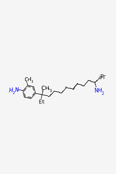 CCC(C)(CCCCCCCCC(N)C(C)C)c1ccc(N)c(C)c1